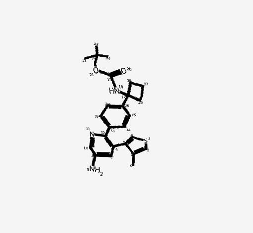 Cc1cscc1-c1cc(N)cnc1-c1ccc(C2(NC(=O)OC(C)(C)C)CCC2)cc1